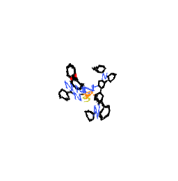 S=P1(c2nc(-c3ccccc3)nc(-c3ccccc3)n2)c2cc3c(cc2-c2cc4c5ccccc5n(-c5ccccc5)c4cc2N1c1ccccc1)c1ccccc1n3-c1ccccc1